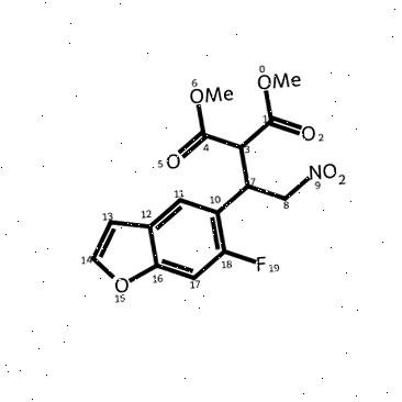 COC(=O)C(C(=O)OC)C(C[N+](=O)[O-])c1cc2ccoc2cc1F